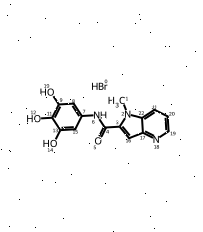 Br.Cn1c(C(=O)Nc2cc(O)c(O)c(O)c2)cc2ncccc21